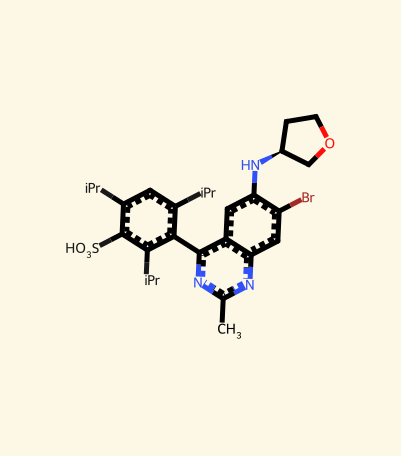 Cc1nc(-c2c(C(C)C)cc(C(C)C)c(S(=O)(=O)O)c2C(C)C)c2cc(N[C@H]3CCOC3)c(Br)cc2n1